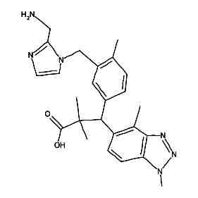 Cc1ccc(C(c2ccc3c(nnn3C)c2C)C(C)(C)C(=O)O)cc1Cn1ccnc1CN